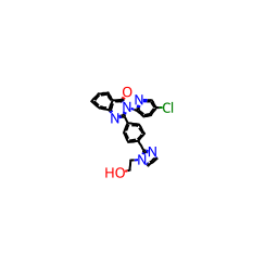 O=c1c2ccccc2nc(-c2ccc(-c3nccn3CCO)cc2)n1-c1ccc(Cl)cn1